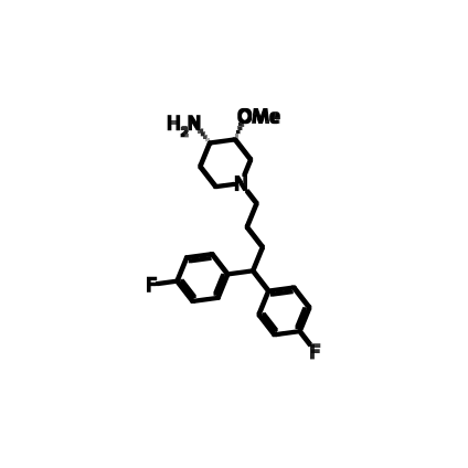 CO[C@@H]1CN(CCCC(c2ccc(F)cc2)c2ccc(F)cc2)CC[C@@H]1N